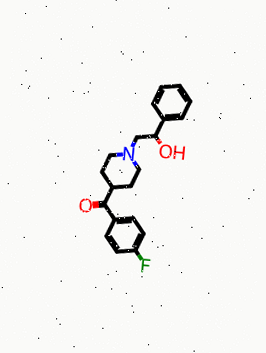 O=C(c1ccc(F)cc1)C1CCN(CC(O)c2ccccc2)CC1